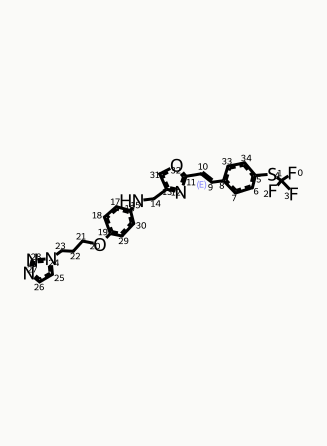 FC(F)(F)Sc1ccc(/C=C/c2nc(CNc3ccc(OCCCn4ccnn4)cc3)co2)cc1